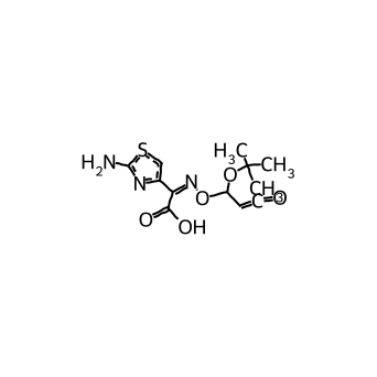 CC(C)(C)OC(C=C=O)ON=C(C(=O)O)c1csc(N)n1